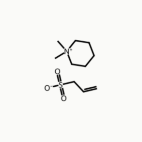 C=CCS(=O)(=O)[O-].C[N+]1(C)CCCCC1